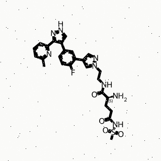 Cc1cccc(-c2n[nH]cc2-c2ccc(F)c(-c3cnn(CCNC(=O)[C@@H](N)CCC(=O)NS(C)(=O)=O)c3)c2)n1